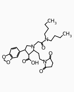 CCCCN(CCCC)C(=O)CN1CC(c2ccc3c(c2)OCO3)C(C(=O)O)C1CCN1C(=O)CCC1=O